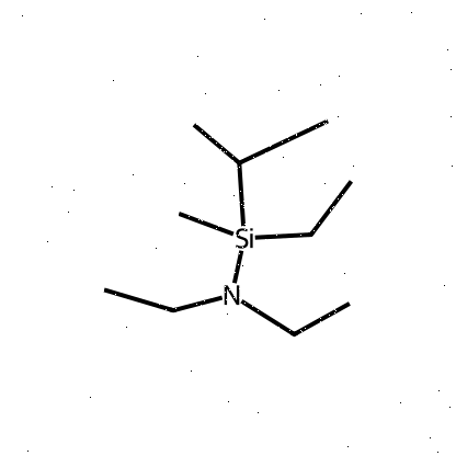 CCN(CC)[Si](C)(CC)C(C)C